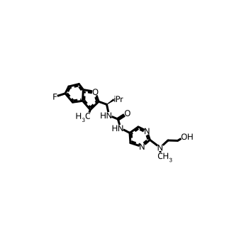 Cc1c([C@H](NC(=O)Nc2cnc(N(C)CCO)nc2)C(C)C)oc2ccc(F)cc12